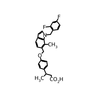 Cc1c(COc2ccc(C(C)CC(=O)O)cc2)ccc2ccn(Cc3ccc(F)cc3F)c12